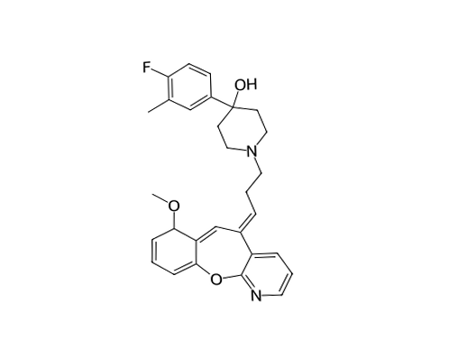 COC1C=CC=C2Oc3ncccc3C(=CCCN3CCC(O)(c4ccc(F)c(C)c4)CC3)C=C21